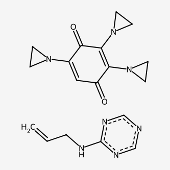 C=CCNc1ncncn1.O=C1C=C(N2CC2)C(=O)C(N2CC2)=C1N1CC1